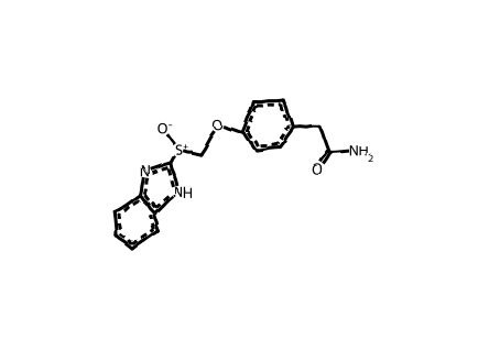 NC(=O)Cc1ccc(OC[S+]([O-])c2nc3ccccc3[nH]2)cc1